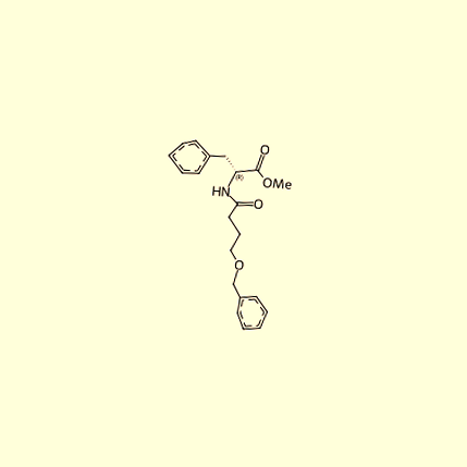 COC(=O)[C@@H](Cc1ccccc1)NC(=O)CCCOCc1ccccc1